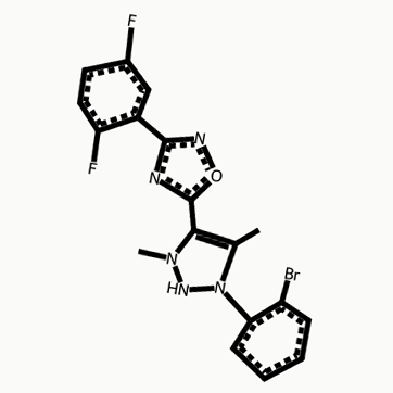 CC1=C(c2nc(-c3cc(F)ccc3F)no2)N(C)NN1c1ccccc1Br